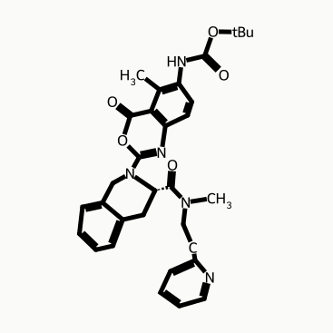 Cc1c(NC(=O)OC(C)(C)C)ccc2nc(N3Cc4ccccc4C[C@H]3C(=O)N(C)CCc3ccccn3)oc(=O)c12